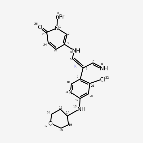 CCCn1cc(N/C=C(\C=N)c2cnc(NC3CCOCC3)cc2Cl)ccc1=O